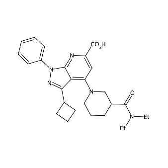 CCN(CC)C(=O)C1CCCN(c2cc(C(=O)O)nc3c2c(C2CCC2)nn3-c2ccccc2)C1